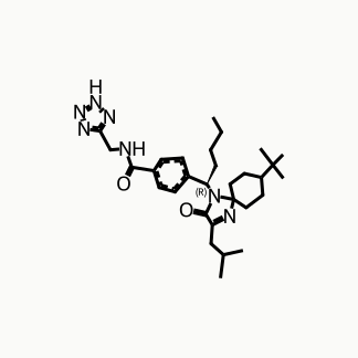 CCCC[C@H](c1ccc(C(=O)NCc2nn[nH]n2)cc1)N1C(=O)C(CC(C)C)=NC12CCC(C(C)(C)C)CC2